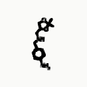 CC1(C)OCC(CNCc2ccc(N)cc2)O1